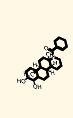 CC12CC[C@H](O)[C@H](O)C1CC[C@@H]1[C@@H]2CC[C@@]2(C)[C@H]1CCCN2C(=O)C1=CCCCC1